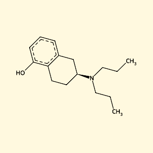 CCCN(CCC)[C@H]1CCc2c(O)cccc2C1